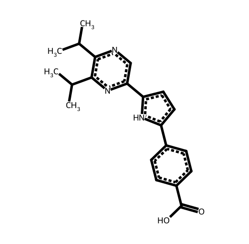 CC(C)c1ncc(-c2ccc(-c3ccc(C(=O)O)cc3)[nH]2)nc1C(C)C